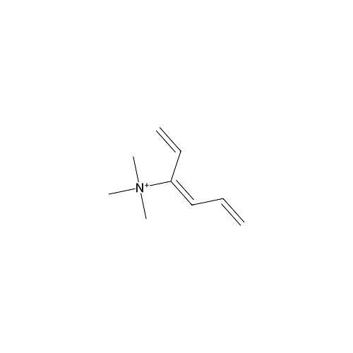 C=C/C=C(\C=C)[N+](C)(C)C